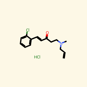 C=CCN(C)CCC(=O)/C=C/c1ccccc1Cl.Cl